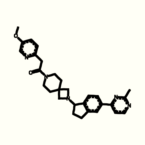 COc1ccc(CC(=O)N2CCC3(CC2)CN(C2CCc4cc(-c5ccnc(C)n5)ccc42)C3)nc1